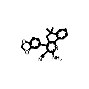 CC1(C)Cc2c(nc(N)c(C#N)c2-c2ccc3c(c2)OCO3)-c2ccccc21